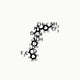 Cn1nc2c(=O)n(CC3(O)CCN(C(=O)CC(c4ccccc4)C(F)(F)F)CC3)cnc2c1-c1ccc([C@@H](N)C(F)(F)F)cc1